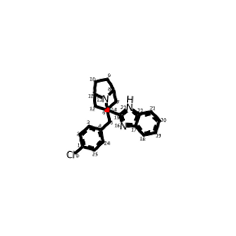 Clc1ccc(CC2CC3CCC(C2)N3Cc2nc3ccccc3[nH]2)cc1